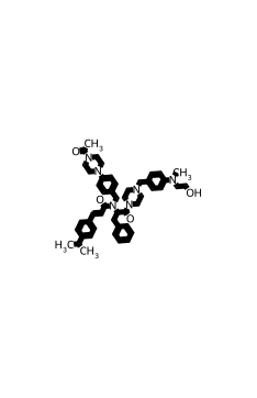 CC(=O)N1CCN(c2ccc(CN(C(=O)C=Cc3ccc(C(C)C)cc3)C(Cc3ccccc3)C(=O)N3CCN(Cc4ccc(N(C)CCO)cc4)CC3)cc2)CC1